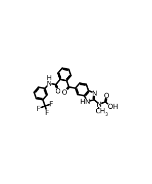 CN(C(=O)O)c1nc2ccc(C(=O)c3ccccc3C(=O)Nc3cccc(C(F)(F)F)c3)cc2[nH]1